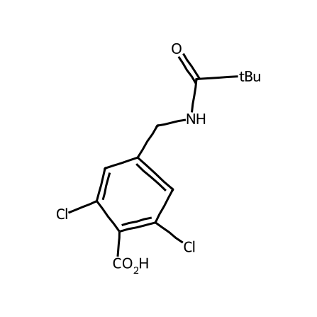 CC(C)(C)C(=O)NCc1cc(Cl)c(C(=O)O)c(Cl)c1